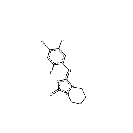 O=c1s/c(=N\c2cc([S])c(Cl)cc2F)n2n1CCCC2